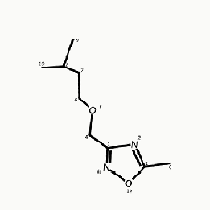 Cc1nc(COCCC(C)C)no1